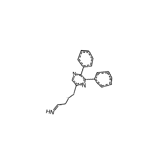 N=CC[CH]Cc1cnc(-c2ccccc2)c(-c2ccccc2)n1